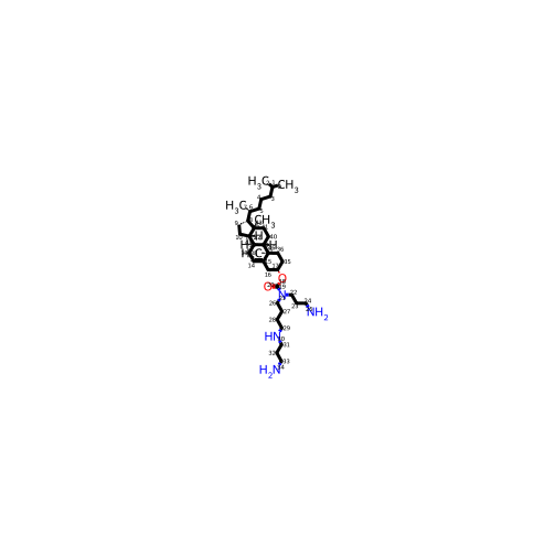 CC(C)CCC[C@@H](C)[C@H]1CC[C@H]2[C@@H]3CC=C4C[C@@H](OC(=O)N(CCCN)CCCCNCCCN)CC[C@]4(C)[C@H]3CC[C@]12C